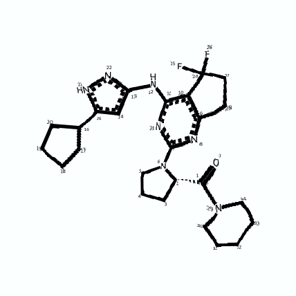 O=C([C@@H]1CCCN1c1nc2c(c(Nc3cc(C4CCCC4)[nH]n3)n1)C(F)(F)CC2)N1CCCCC1